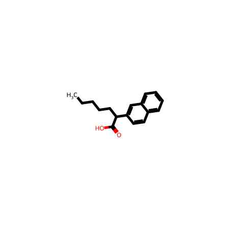 CCCCCC(C(=O)O)c1ccc2ccccc2c1